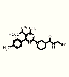 CCCC(C(=O)O)c1c(C)nc(N2CCCC(C(=O)NCC(C)C)C2)nc1-c1ccc(C)cc1